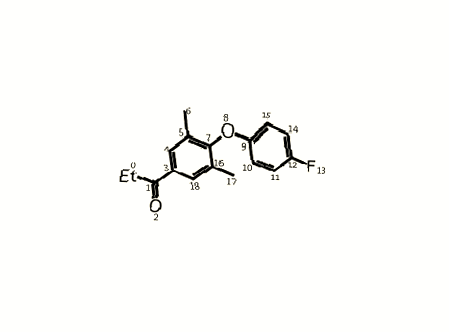 CCC(=O)c1cc(C)c(Oc2ccc(F)cc2)c(C)c1